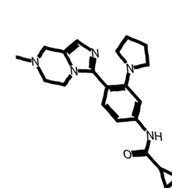 CN1CCn2c(cnc2-c2ccc(NC(=O)C3CC3)cc2N2CCCC2)C1